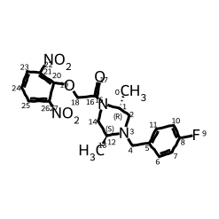 C[C@@H]1CN(Cc2ccc(F)cc2)[C@@H](C)CN1C(=O)COc1c([N+](=O)[O-])cccc1[N+](=O)[O-]